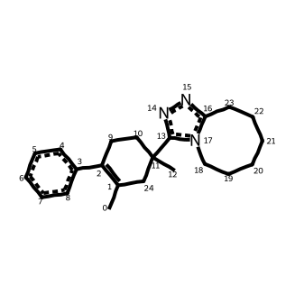 CC1=C(c2ccccc2)CCC(C)(c2nnc3n2CCCCCC3)C1